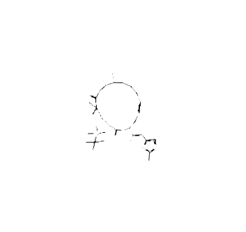 C/C(=C\c1csc(C)n1)[C@@H]1C/C=C\CCC[C@H](C)[C@H](O)[C@@H](C)C(=O)C(C)(C)[C@@H](O[Si](C)(C)C(C)(C)C)CC(=O)O1